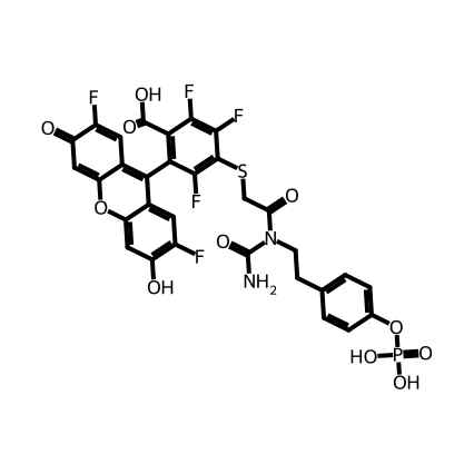 NC(=O)N(CCc1ccc(OP(=O)(O)O)cc1)C(=O)CSc1c(F)c(F)c(C(=O)O)c(-c2c3cc(F)c(=O)cc-3oc3cc(O)c(F)cc23)c1F